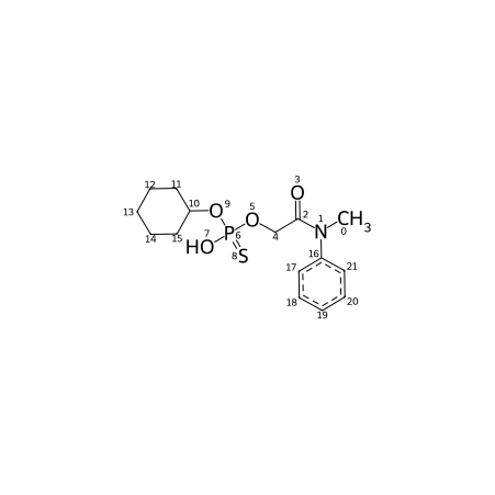 CN(C(=O)COP(O)(=S)OC1CCCCC1)c1ccccc1